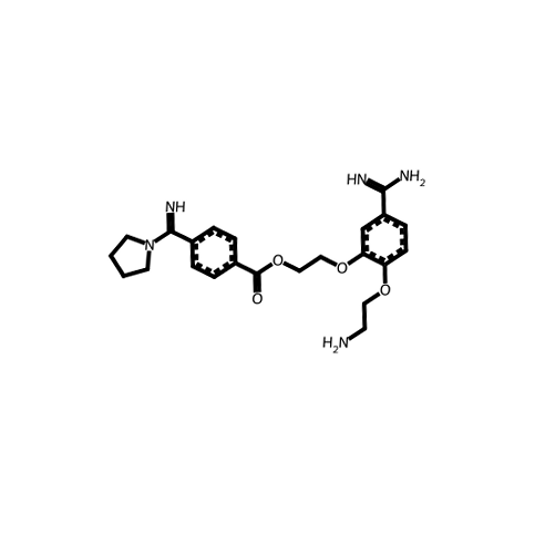 N=C(N)c1ccc(OCCN)c(OCCOC(=O)c2ccc(C(=N)N3CCCC3)cc2)c1